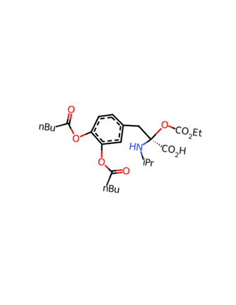 CCCCC(=O)Oc1ccc(C[C@](NC(C)C)(OC(=O)OCC)C(=O)O)cc1OC(=O)CCCC